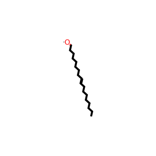 CCCCCCCC/C=C/CCCCCCCC[O]